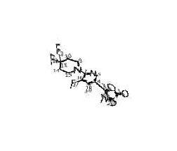 O=c1oc(-c2cnc(N3CCC(F)(F)CC3)c(F)c2)ns1